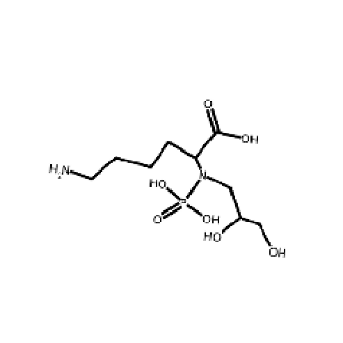 NCCCCC(C(=O)O)N(CC(O)CO)P(=O)(O)O